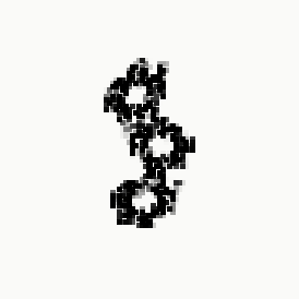 CC1C(CC2CNC(=O)c3cnn4ccc(nc34)N3CCOCC3c3cc(F)cnc3O2)OCC2c3cc(F)cnc3OC(CC3CN4c5ccn6ncc(c6n5)C(=O)NC5(CC5)COc5ncc(F)cc5C4CCO3)CNC(=O)c3cnn4ccc(nc34)N21